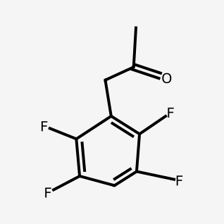 CC(=O)Cc1c(F)c(F)cc(F)c1F